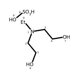 CCN(CCO)CCO.O=S(=O)(O)O